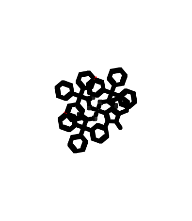 CC1=[C]([Ti]([O]C(=O)C(c2ccccc2)(c2ccccc2)c2ccccc2)([O]C(=O)C(c2ccccc2)(c2ccccc2)c2ccccc2)[O]C(=O)C(c2ccccc2)(c2ccccc2)c2ccccc2)C2=C(CCCC2)C1C